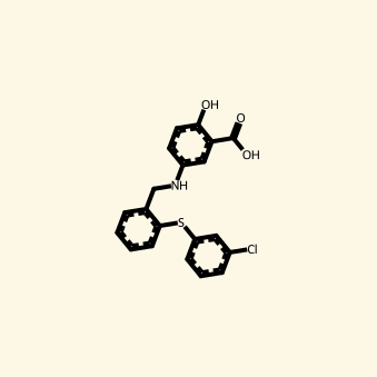 O=C(O)c1cc(NCc2ccccc2Sc2cccc(Cl)c2)ccc1O